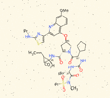 C=CC1C[C@]1(NC(=O)[C@@H]1C[C@@H](Oc2cc(-c3csc(NC(C)C)n3)nc3cc(OC)ccc23)CN1C(=O)[C@@H](NC(=O)N[C@H](C(=O)N(C)S(=O)(=O)C(C)C)C(C)(C)C)C1CCCC1)C(=O)O